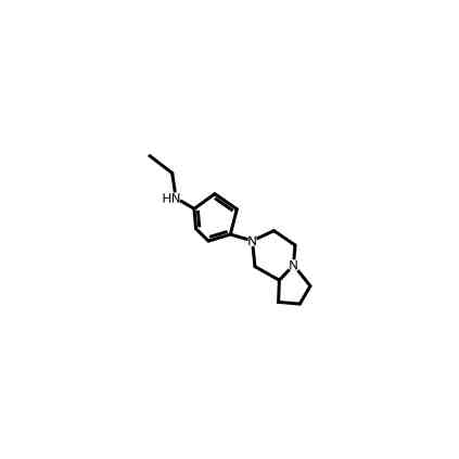 CCNc1ccc(N2CCN3CCCC3C2)cc1